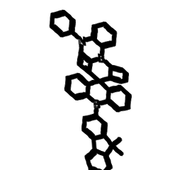 CC1(C)c2ccccc2-c2ccc(B3c4ccccc4C4(c5ccccc53)c3ccccc3B3c5ccccc5N(c5ccccc5)c5cccc4c53)cc21